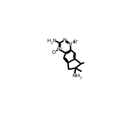 CC1c2cc3c(cc2CC1(C)N)[n+]([O-])c(N)n[n+]3[O-]